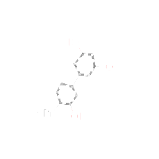 CCCc1ccc(-c2cc(O)cc(O)c2)cc1O